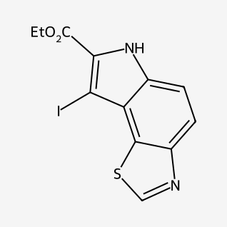 CCOC(=O)c1[nH]c2ccc3ncsc3c2c1I